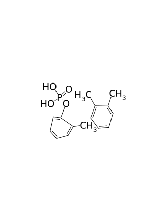 Cc1ccccc1C.Cc1ccccc1OP(=O)(O)O